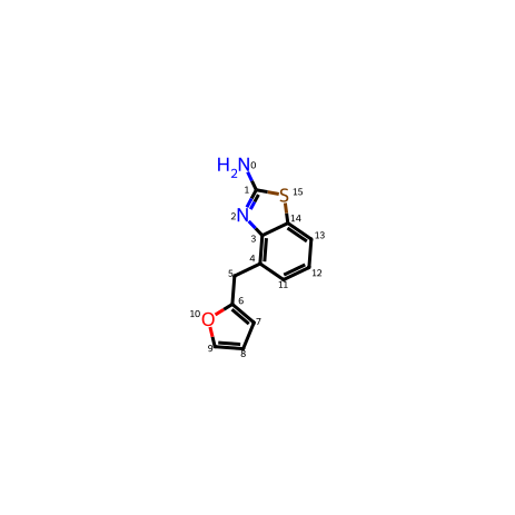 Nc1nc2c(Cc3ccco3)cccc2s1